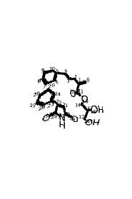 C=C(CC=Cc1ccccc1)C(=O)OCC(O)CO.O=C1C=C(c2ccccc2)C(=O)N1